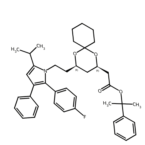 CC(C)c1cc(-c2ccccc2)c(-c2ccc(F)cc2)n1CC[C@@H]1C[C@H](CC(=O)OC(C)(C)c2ccccc2)OC2(CCCCC2)O1